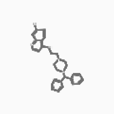 Clc1ccc2c(NCCN3CCN(C(c4ccccc4)c4ccccc4)CC3)ccnc2c1